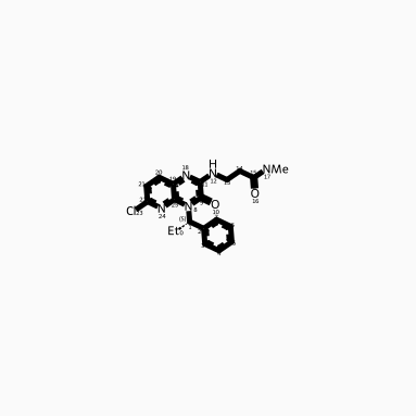 CC[C@@H](c1ccccc1)n1c(=O)c(NCCC(=O)NC)nc2ccc(Cl)nc21